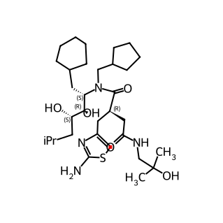 CC(C)C[C@H](O)[C@H](O)[C@H](CC1CCCCC1)N(CC1CCCC1)C(=O)[C@@H](CC(=O)NCC(C)(C)O)Cc1csc(N)n1